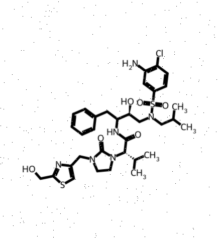 CC(C)CN(C[C@H](O)C(Cc1ccccc1)NC(=O)[C@H](C(C)C)N1CCN(Cc2csc(CO)n2)C1=O)S(=O)(=O)c1ccc(Cl)c(N)c1